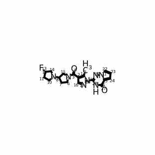 Cc1c(C(=O)N2CCC(N3CC[C@@H](F)C3)C2)cnn1-c1nn2cccc2c(=O)[nH]1